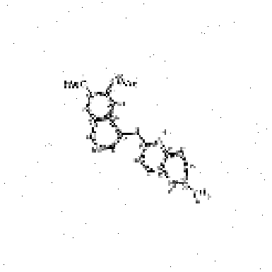 COc1cc2cncc(Cc3ccc4nc(C)ccc4n3)c2cc1OC